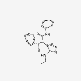 CCNc1nnnn1C(C(=O)Nc1ccccc1)C(=O)c1ccccc1